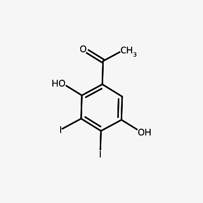 CC(=O)c1cc(O)c(I)c(I)c1O